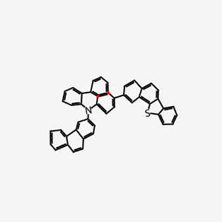 c1ccc(-c2ccccc2N(c2ccc(-c3ccc4ccc5c6ccccc6sc5c4c3)cc2)c2ccc3ccc4ccccc4c3c2)cc1